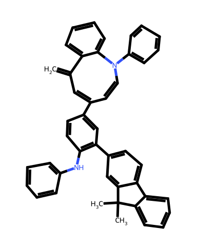 C=C1/C=C(c2ccc(Nc3ccccc3)c(-c3ccc4c(c3)C(C)(C)c3ccccc3-4)c2)\C=C/N(c2ccccc2)c2ccccc21